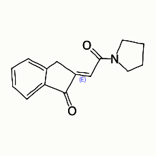 O=C1/C(=C/C(=O)N2CCCC2)Cc2ccccc21